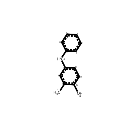 Cc1cc(Nc2ccccc2)ccc1O